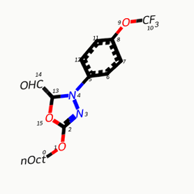 CCCCCCCCOC1=NN(c2ccc(OC(F)(F)F)cc2)C(C=O)O1